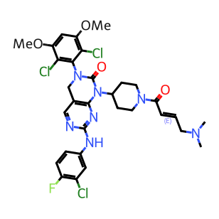 COc1cc(OC)c(Cl)c(N2Cc3cnc(Nc4ccc(F)c(Cl)c4)nc3N(C3CCN(C(=O)/C=C/CN(C)C)CC3)C2=O)c1Cl